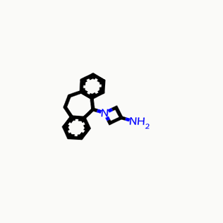 NC1CN(C2c3ccccc3CCc3ccccc32)C1